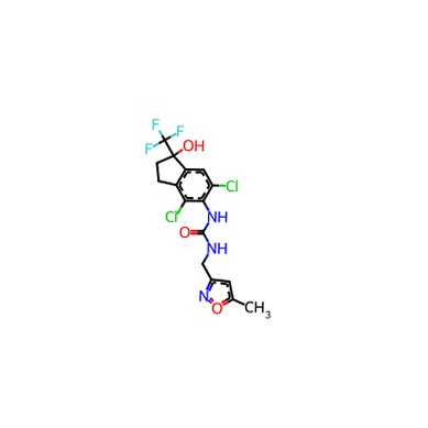 Cc1cc(CNC(=O)Nc2c(Cl)cc3c(c2Cl)CCC3(O)C(F)(F)F)no1